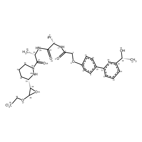 CC(C)[C@H](NC(=O)COc1ccc(-c2cccc([C@@H](C)O)n2)cc1)C(=O)N[C@@H](C)C(=O)N1CCC[C@@H](C2OC2OCC(Cl)(Cl)Cl)N1